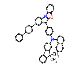 CC1(C)c2ccccc2-c2ccc(N(c3ccc(-c4c5cc(-c6ccc(-c7ccccc7)cc6)ccc5n5c4oc4ccccc45)cc3)c3cccc4ccccc34)cc21